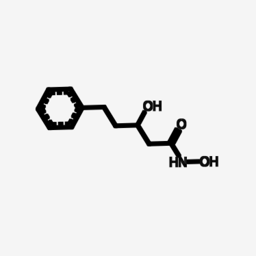 O=C(CC(O)CCc1ccccc1)NO